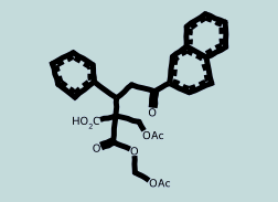 CC(=O)OCOC(=O)C(COC(C)=O)(C(=O)O)C(CC(=O)c1ccc2ccccc2c1)c1ccccc1